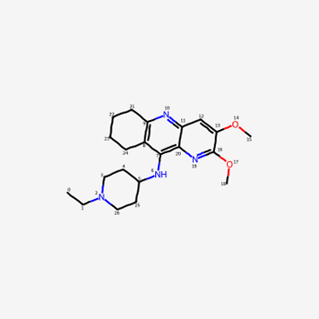 CCN1CCC(Nc2c3c(nc4cc(OC)c(OC)nc24)CCCC3)CC1